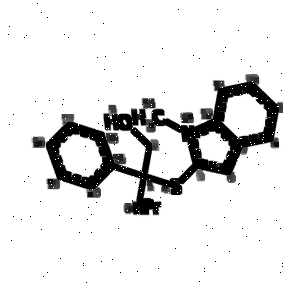 CCCC(CO)(Sc1cc2ccccc2n1C)c1ccccc1